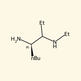 CCCC[C@@H](N)C(CC)NCC